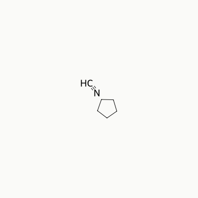 C#N.C1CCCC1